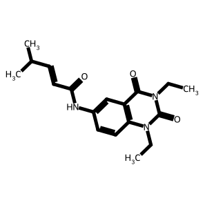 CCn1c(=O)c2cc(NC(=O)/C=C/C(C)C)ccc2n(CC)c1=O